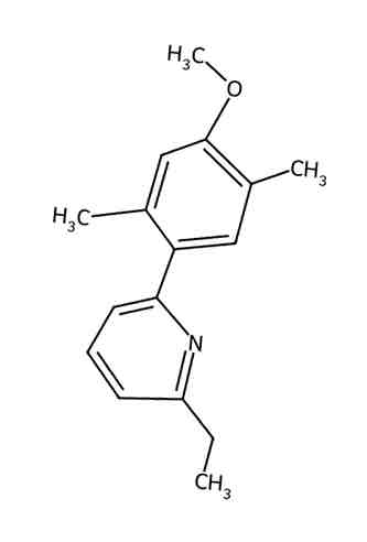 CCc1cccc(-c2cc(C)c(OC)cc2C)n1